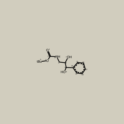 CC(C)(C)OC(=O)NCC(O)C(O)c1ccccc1